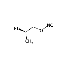 CC[C@H](C)CON=O